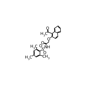 CC(=O)c1c(OCC(=O)NS(=O)(=O)c2c(C)cc(C)cc2C)ccc2ccccc12